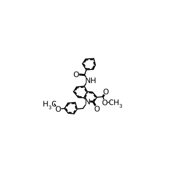 COC(=O)c1cc2c(NC(=O)c3ccccc3)cccc2n(Cc2ccc(OC)cc2)c1=O